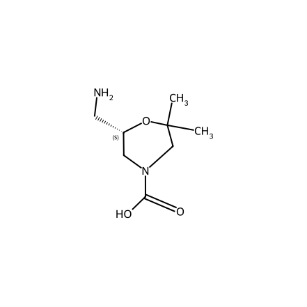 CC1(C)CN(C(=O)O)C[C@H](CN)O1